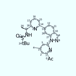 CC(=O)c1cc(C)cc(-n2ncc3ccc(-c4cccc([C@H](C)N[S+]([O-])C(C)(C)C)n4)cc32)n1